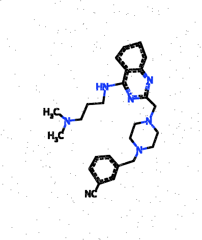 CN(C)CCCNc1nc(CN2CCN(Cc3cccc(C#N)c3)CC2)nc2ccccc12